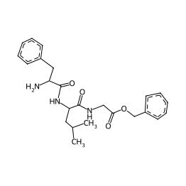 CC(C)CC(NC(=O)C(N)Cc1ccccc1)C(=O)NCC(=O)OCc1ccccc1